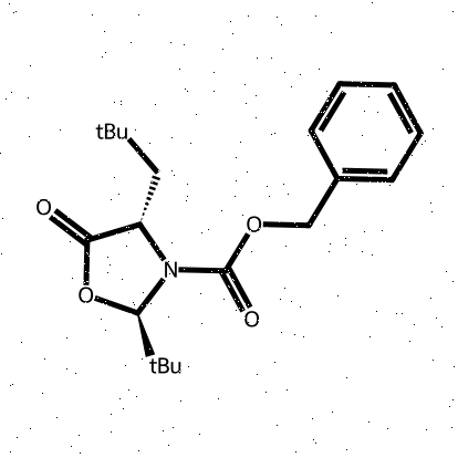 CC(C)(C)C[C@H]1C(=O)O[C@H](C(C)(C)C)N1C(=O)OCc1ccccc1